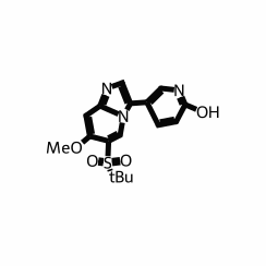 COc1cc2ncc(-c3ccc(O)nc3)n2cc1S(=O)(=O)C(C)(C)C